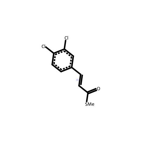 CSC(=O)/C=C/c1ccc(Cl)c(Cl)c1